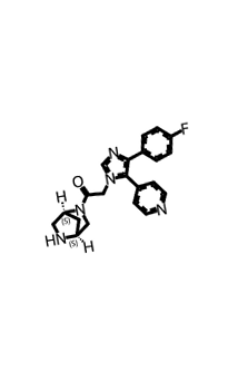 O=C(Cn1cnc(-c2ccc(F)cc2)c1-c1ccncc1)N1C[C@@H]2C[C@H]1CN2